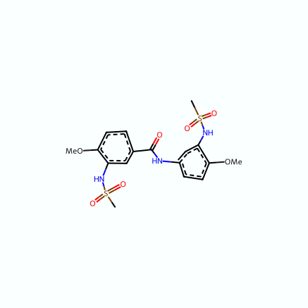 COc1ccc(NC(=O)c2ccc(OC)c(NS(C)(=O)=O)c2)cc1NS(C)(=O)=O